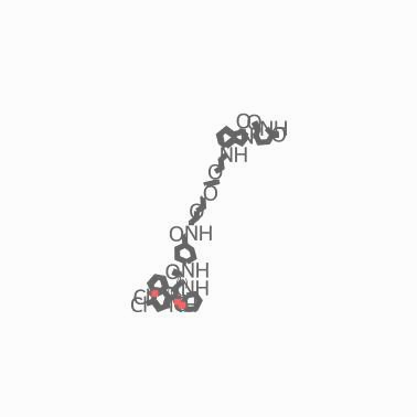 O=C1CCC(N2Cc3c(NCCOCCOCCOCCNC(=O)C4CCC(NC(=O)[C@@H]5NC6(CCCCC6)[C@@]6(C(=O)Nc7cc(Cl)ccc76)[C@H]5c5cccc(Cl)c5)CC4)cccc3C2=O)C(=O)N1